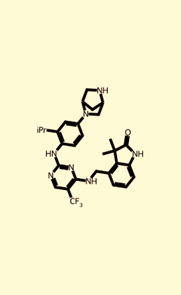 CC(C)c1cc(N2CC3CC2CN3)ccc1Nc1ncc(C(F)(F)F)c(NCc2cccc3c2C(C)(C)C(=O)N3)n1